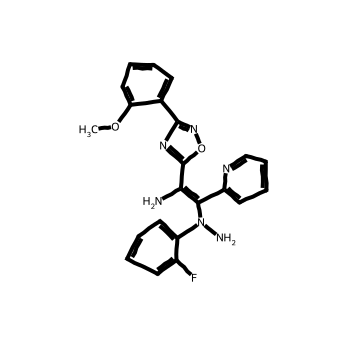 COc1ccccc1-c1noc(/C(N)=C(\c2ccccn2)N(N)c2ccccc2F)n1